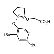 CC(C)(C)c1ccc(O[C@@H]2CCC[C@H]2OCC(=O)O)c(C(C)(C)C)c1